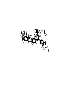 COc1ccc(Cc2ccc3c(-c4cnn(C)c4)cc(C(N)=O)nc3c2F)cn1